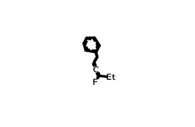 CCC(F)=C=CCc1ccccc1